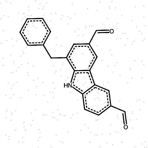 O=Cc1ccc2[nH]c3c(Cc4ccccc4)cc(C=O)cc3c2c1